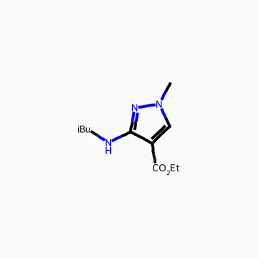 CCOC(=O)c1cn(C)nc1NC(C)CC